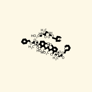 CN(C(=O)OCc1ccccc1)S(=O)(=O)c1ccc(Cl)c(C(C(=O)O)C(=O)C(C(=O)O)c2c(Cl)ccc(S(=O)(=O)N(C)C(=O)OCc3ccccc3)c2Cl)c1Cl.C[C@H](NC(=O)OCc1ccccc1)C(=O)NCC(=O)O